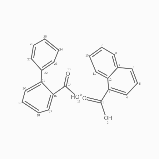 O=C(O)c1cccc2ccccc12.O=C(O)c1ccccc1-c1ccccc1